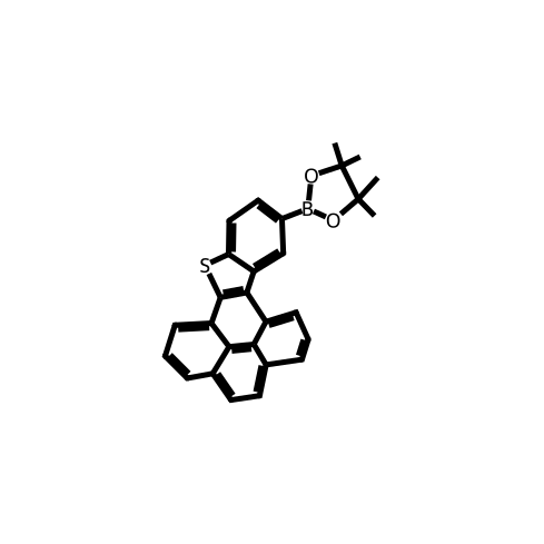 CC1(C)OB(c2ccc3sc4c5cccc6ccc7cccc(c4c3c2)c7c65)OC1(C)C